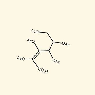 CC(=O)OCC(OC(C)=O)C(OC(C)=O)C(OC(C)=O)=C(OC(C)=O)C(=O)O